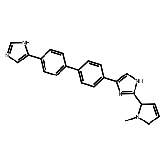 CN1CC=CC1c1nc(-c2ccc(-c3ccc(-c4cnc[nH]4)cc3)cc2)c[nH]1